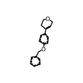 C1=C(c2ccc(OCc3ccccc3)cc2)CCOC1